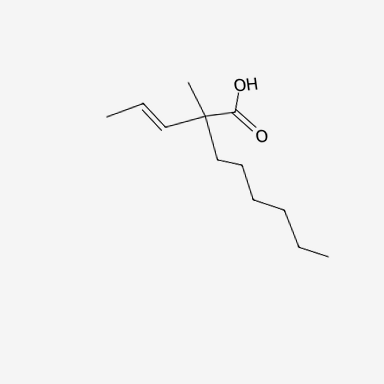 CC=CC(C)(CCCCCC)C(=O)O